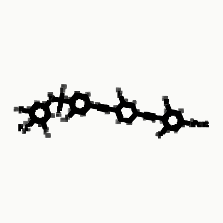 CCCCCc1cc(F)c(C#CC2C=C(F)C(C#Cc3ccc(C(F)(F)Oc4cc(F)c(C(F)(F)F)c(F)c4)c(F)c3)=CC2)c(F)c1